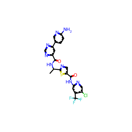 CC(NC(=O)c1cc(-c2ccc(N)nc2)ncn1)c1ncc(C(=O)Nc2cc(C(F)(F)F)c(Cl)cn2)s1